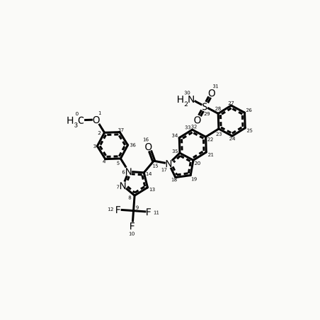 COc1ccc(-n2nc(C(F)(F)F)cc2C(=O)n2ccc3cc(-c4ccccc4S(N)(=O)=O)ccc32)cc1